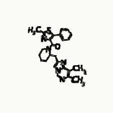 Cc1nc(C(=O)N2CCCCC2Cc2cn3cnc(C)c(C)c3n2)c(-c2ccccc2)s1